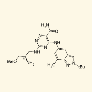 COC[C@H](N)CNc1nnc(C(N)=O)c(Nc2cc(C)c3nn(C(C)(C)C)cc3c2)n1